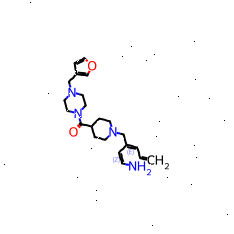 C=C/C=C(\C=C/N)CN1CCC(C(=O)N2CCN(Cc3ccoc3)CC2)CC1